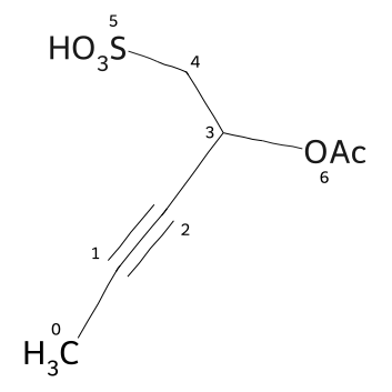 CC#CC(CS(=O)(=O)O)OC(C)=O